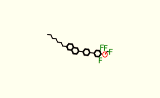 CCCCCCCc1ccc2cc(-c3ccc(-c4cc(F)c(OC(F)F)c(F)c4)cc3)ccc2c1